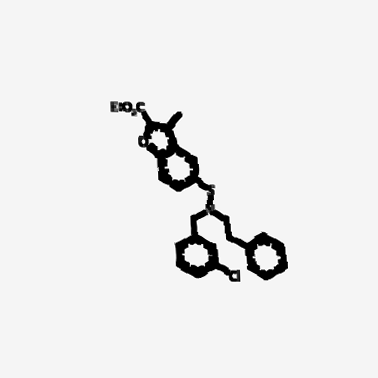 CCOC(=O)c1oc2ccc(SN(CCc3ccccc3)Cc3cccc(Cl)c3)cc2c1C